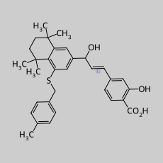 Cc1ccc(CSc2cc(C(O)/C=C/c3ccc(C(=O)O)c(O)c3)cc3c2C(C)(C)CCC3(C)C)cc1